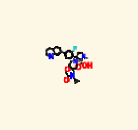 CN1CCC(c2ccc(-c3ccc4cccnc4c3)cc2F)(N2CCC3(CC2)CN(C2CC2)C(=O)CO3)[C@H]1C(=O)O